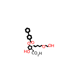 O=C(O)C[C@@H]1[C@@H](C=CCCCOCCO)[C@@H](OC(=O)c2ccc(-c3ccccc3)cc2)C[C@@H]1O